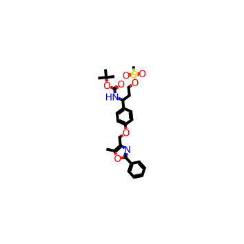 Cc1oc(-c2ccccc2)nc1COc1ccc(C(CCOS(C)(=O)=O)NC(=O)OC(C)(C)C)cc1